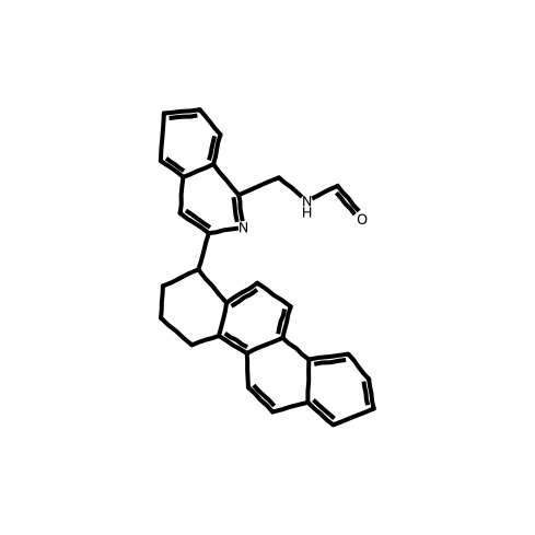 O=CNCc1nc(C2CCCc3c2ccc2c3ccc3ccccc32)cc2ccccc12